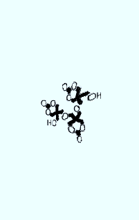 O=C1OCC(CO)(COCC2(COCC3(CO)COC(=O)OC3)COC(=O)OC2)CO1